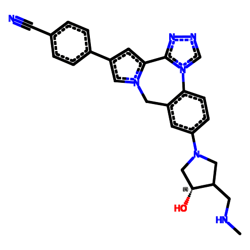 CNCC1CN(c2ccc3c(c2)Cn2cc(-c4ccc(C#N)cc4)cc2-c2nncn2-3)C[C@H]1O